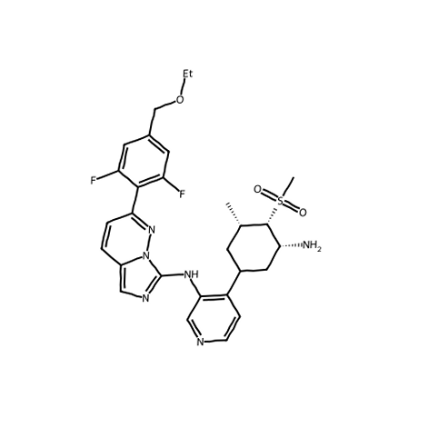 CCOCc1cc(F)c(-c2ccc3cnc(Nc4cnccc4C4C[C@@H](N)[C@@H](S(C)(=O)=O)[C@@H](C)C4)n3n2)c(F)c1